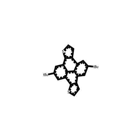 CC(C)(C)c1cc2c3ccsc3c3cc(C(C)(C)C)cc4c5sccc5c(c1)c2c34